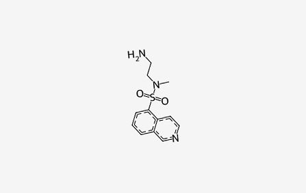 CN(CCN)S(=O)(=O)c1cccc2cnccc12